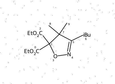 CCOC(=O)C1(C(=O)OCC)ON=C(C(C)CC)C1(C)C